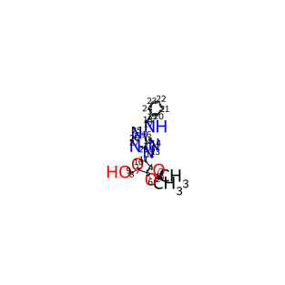 CC1(C)OC2C(O1)[C@@H](CO)O[C@H]2n1cnc2c(NCc3ccccc3)ncnc21